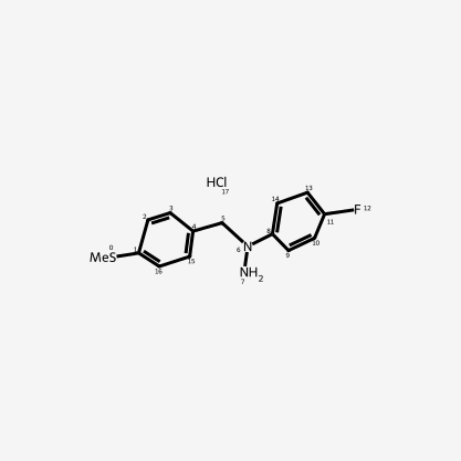 CSc1ccc(CN(N)c2ccc(F)cc2)cc1.Cl